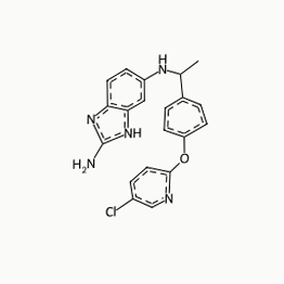 CC(Nc1ccc2nc(N)[nH]c2c1)c1ccc(Oc2ccc(Cl)cn2)cc1